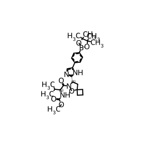 COC(=O)N[C@H](C(=O)N1OC2(CCC2)C[C@H]1c1ncc(-c2ccc(B3OC(C)(C)C(C)(C)O3)cc2)[nH]1)C(C)C